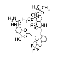 CC(C)(C)OC(=O)CC(NC(=O)CCc1cccc(OC(=O)C(F)(F)F)c1OCCCCOc1cc(NC(=N)N)ccc1C(=O)O)C(=O)OC(C)(C)C